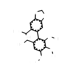 COc1cc(CO)c(-c2cc3c(cc2C(C)O)OCO3)c(OC)c1OC